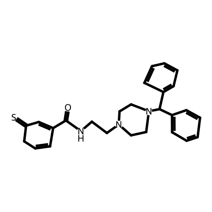 O=C(NCCN1CCN(C(c2ccccc2)c2ccccc2)CC1)C1=CC(=S)CC=C1